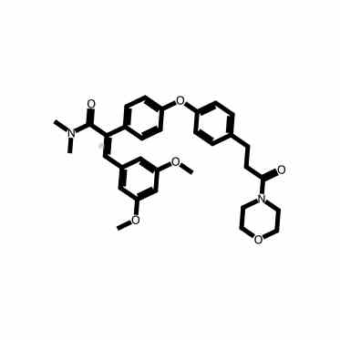 COc1cc(/C=C(/C(=O)N(C)C)c2ccc(Oc3ccc(CCC(=O)N4CCOCC4)cc3)cc2)cc(OC)c1